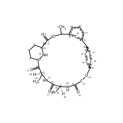 CC1OC(=O)[C@@H]2CCCN(N2)C(=O)[C@H](C)NC(=O)[C@H](C(C)C)NC(=O)COc2ccc(cc2)-c2cccc1c2